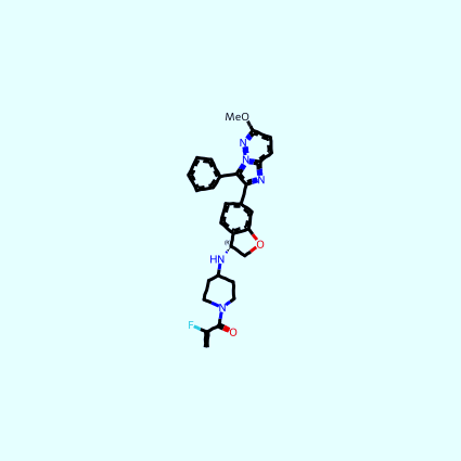 C=C(F)C(=O)N1CCC(N[C@H]2COc3cc(-c4nc5ccc(OC)nn5c4-c4ccccc4)ccc32)CC1